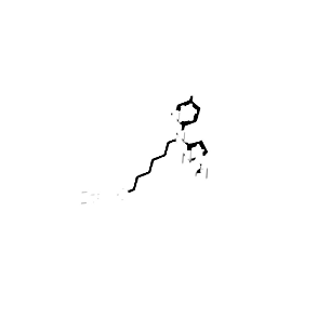 CCOC(=O)CCCCCCN(c1ccc(F)cn1)c1ccn(C)n1